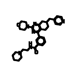 O=C(NCCN1CCCCC1)c1cccc(-c2nc(N3CCOCC3)nc3c2CCC(Cc2ccncc2)C3)c1